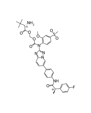 COc1cc(S(C)(=O)=O)ccc1N(C(=O)OCOC(=O)[C@@H](N)C(C)(C)C)c1nc2ccc(-c3ccc(NC(=O)[C@H](C)c4ccc(F)cc4)cc3)cn2n1